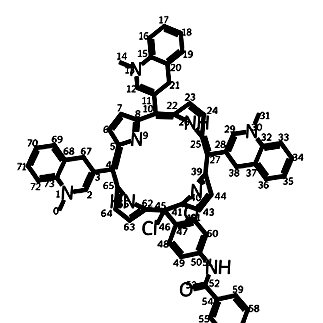 CN1C=C(C2=C3C=CC(=N3)C(C3=CN(C)c4ccccc4C3)=c3ccc([nH]3)=C(C3=CN(C)c4ccccc4C3)C3=NC(Cl)(C=C3)C(Cl)(c3ccc(NC(=O)c4ccccc4)cc3)c3ccc2[nH]3)Cc2ccccc21